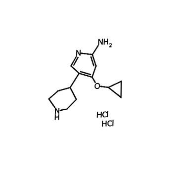 Cl.Cl.Nc1cc(OC2CC2)c(C2CCNCC2)cn1